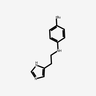 CC(C)(C)c1ccc(NCCc2cnc[nH]2)cc1